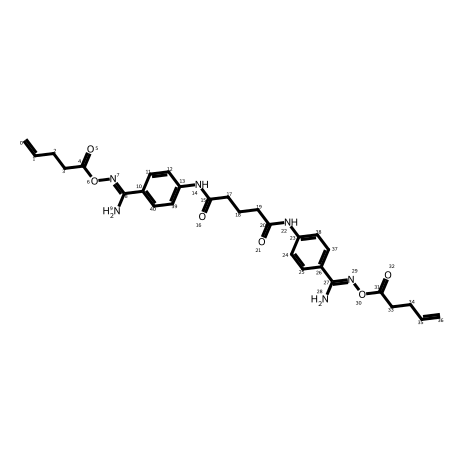 C=CCCC(=O)O/N=C(\N)c1ccc(NC(=O)CCCC(=O)Nc2ccc(/C(N)=N/OC(=O)CCC=C)cc2)cc1